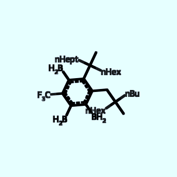 Bc1c(B)c(C(F)(F)F)c(B)c(C(C)(CCCCCC)CCCCCCC)c1CC(C)(CCCC)CCCCCC